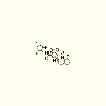 O=C(NCc1c(F)cc(F)cc1F)c1cn2c(c(O)c1=O)C(=O)N1C[C@H]2CCc2cccc(F)c21